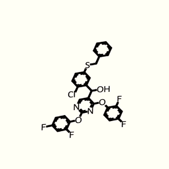 OC(c1cc(SCc2ccccc2)ccc1Cl)c1cnc(Oc2ccc(F)cc2F)nc1Oc1ccc(F)cc1F